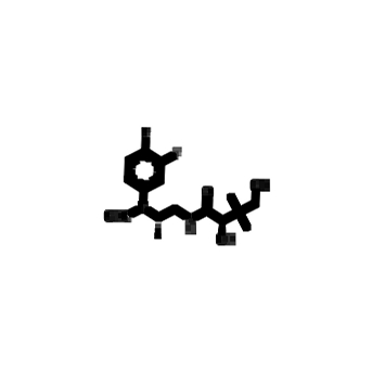 C[C@@H](CNC(=O)[C@H](O)C(C)(C)CO)N(C=O)c1ccc(F)c(F)c1